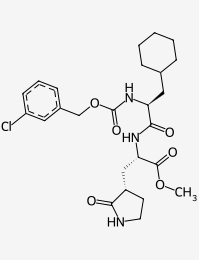 COC(=O)[C@H](C[C@@H]1CCNC1=O)NC(=O)[C@H](CC1CCCCC1)NC(=O)OCc1cccc(Cl)c1